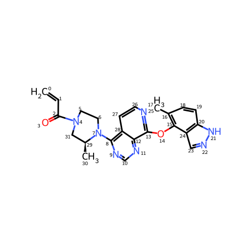 C=CC(=O)N1CCN(c2ncnc3c(Oc4c(C)ccc5[nH]ncc45)nccc23)[C@@H](C)C1